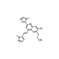 Cn1cncc1-c1cc(/C=C/c2ccnn2C)c2cc(CCC#N)c(Cl)cc2n1